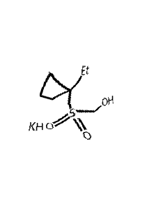 CCC1(S(=O)(=O)O)CC1.[KH]